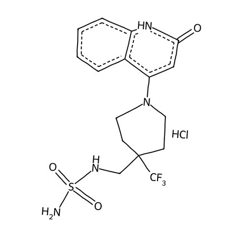 Cl.NS(=O)(=O)NCC1(C(F)(F)F)CCN(c2cc(=O)[nH]c3ccccc23)CC1